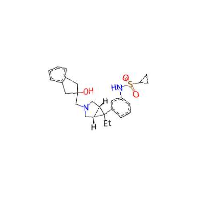 CCC1(c2cccc(NS(=O)(=O)C3CC3)c2)[C@@H]2CN(CC3(O)Cc4ccccc4C3)C[C@@H]21